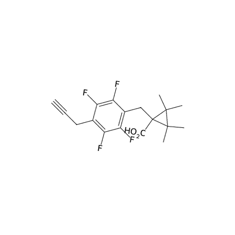 C#CCc1c(F)c(F)c(CC2(C(=O)O)C(C)(C)C2(C)C)c(F)c1F